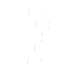 O=C1COc2ccc(C(=O)C(Br)c3ccccn3)cc2N1